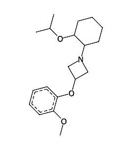 COc1ccccc1OC1CN(C2CCCCC2OC(C)C)C1